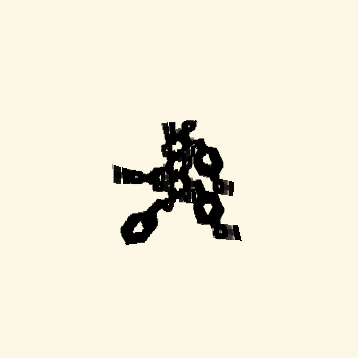 NC(=O)[C@H](Cc1ccc(O)cc1)NC(=O)[C@H](CC(=O)O)NC(=O)[C@H](Cc1ccc(O)cc1)NC(=O)OCc1ccccc1